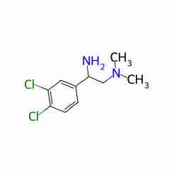 CN(C)CC(N)c1ccc(Cl)c(Cl)c1